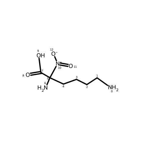 NCCCCC(N)(C(=O)O)[N+](=O)[O-]